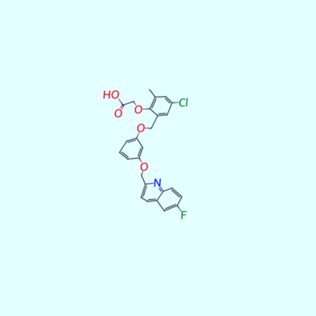 Cc1cc(Cl)cc(COc2cccc(OCc3ccc4cc(F)ccc4n3)c2)c1OCC(=O)O